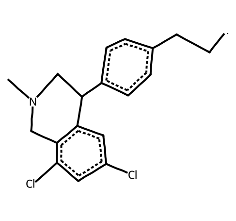 [CH2]CCc1ccc(C2CN(C)Cc3c(Cl)cc(Cl)cc32)cc1